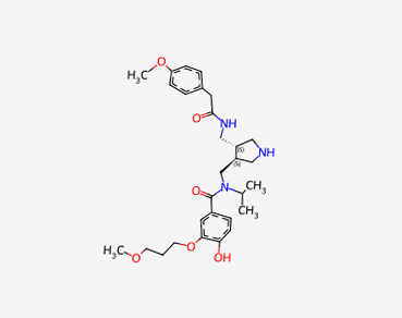 COCCCOc1cc(C(=O)N(C[C@@H]2CNC[C@H]2CNC(=O)Cc2ccc(OC)cc2)C(C)C)ccc1O